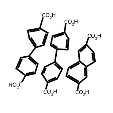 O=C(O)c1ccc(-c2ccc(C(=O)O)cc2)cc1.O=C(O)c1ccc(-c2ccc(C(=O)O)cc2)cc1.O=C(O)c1ccc2cc(C(=O)O)ccc2c1